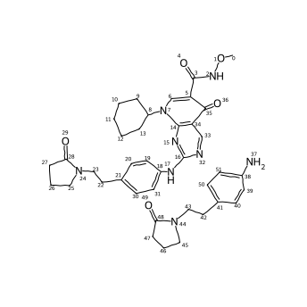 CONC(=O)c1cn(C2CCCCC2)c2nc(Nc3ccc(CCN4CCCC4=O)cc3)ncc2c1=O.Nc1ccc(CCN2CCCC2=O)cc1